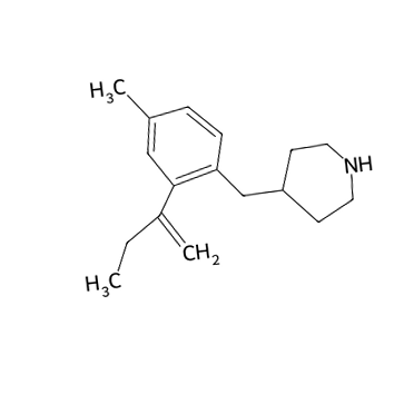 C=C(CC)c1cc(C)ccc1CC1CCNCC1